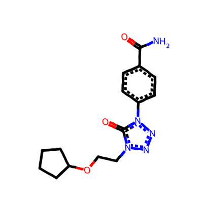 NC(=O)c1ccc(-n2nnn(CCOC3CCCC3)c2=O)cc1